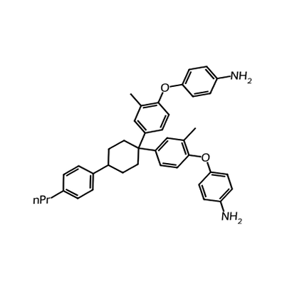 CCCc1ccc(C2CCC(c3ccc(Oc4ccc(N)cc4)c(C)c3)(c3ccc(Oc4ccc(N)cc4)c(C)c3)CC2)cc1